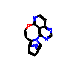 C1=c2ccc([nH]2)=c2ccoc3nccc4ncnc(c43)n21